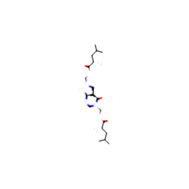 CC(C)C[C@H](N)C(=O)OCn1cnc2[nH][n+](COC(=O)[C@@H](N)CC(C)C)cc2c1=O